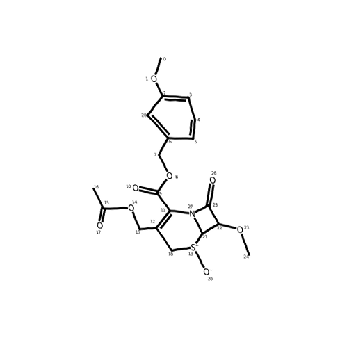 COc1cccc(COC(=O)C2=C(COC(C)=O)C[S+]([O-])C3C(OC)C(=O)N23)c1